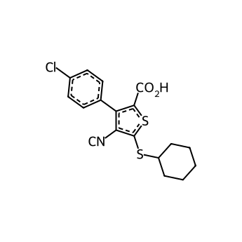 [C-]#[N+]c1c(SC2CCCCC2)sc(C(=O)O)c1-c1ccc(Cl)cc1